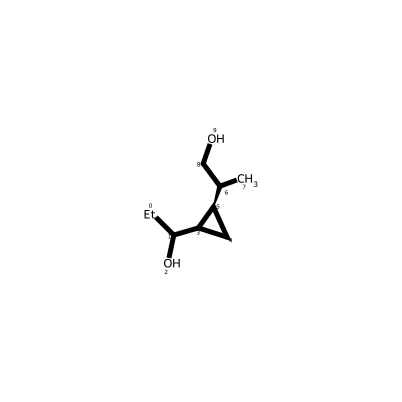 CCC(O)C1C[C@@H]1C(C)CO